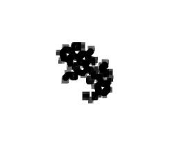 Bc1ccc(F)c(C(NC=C)C(=O)N[C@@H](CC(=O)OCC)c2cc(-c3c(C)cccc3O)cc(C)c2F)c1